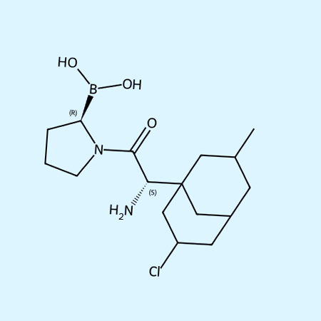 CC1CC2CC(Cl)CC([C@H](N)C(=O)N3CCC[C@H]3B(O)O)(C1)C2